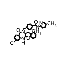 Cc1ccc(NC(=O)c2ccc(CN3C(=O)c4ccc(Cl)cc4NC(=O)C3Cc3ccccn3)cc2C)nc1